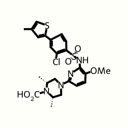 COc1ccc(N2C[C@@H](C)N(C(=O)O)[C@@H](C)C2)nc1NS(=O)(=O)c1ccc(-c2cc(C)cs2)cc1Cl